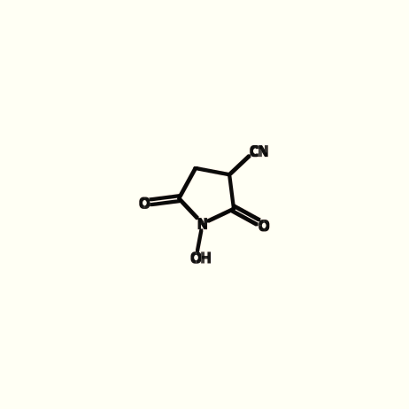 N#CC1CC(=O)N(O)C1=O